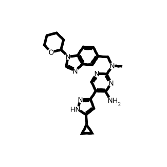 CN(Cc1ccc2c(c1)ncn2C1CCCCO1)c1ncc(-c2cc(C3CC3)[nH]n2)c(N)n1